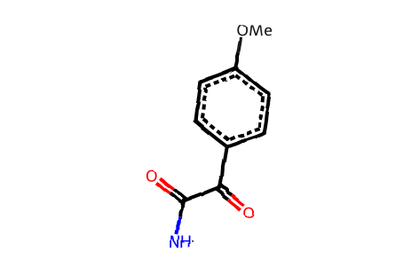 COc1ccc(C(=O)C([NH])=O)cc1